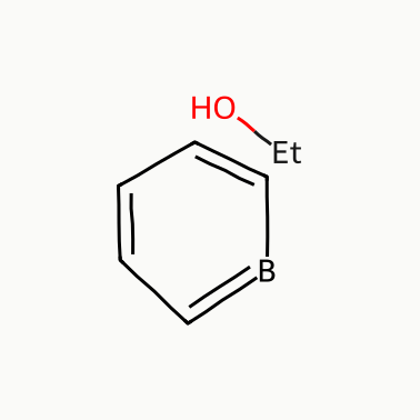 CCO.b1ccccc1